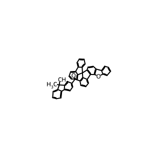 CC1(C)c2ccccc2-c2ccc(C(=O)c3cccc4c3C3(c5ccccc5-c5ccccc53)c3ccc5c(oc6ccccc65)c3-4)cc21